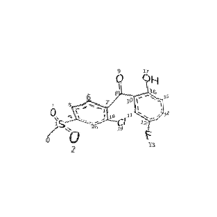 CS(=O)(=O)c1ccc(C(=O)c2cc(F)ccc2O)c(Cl)c1